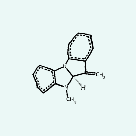 C=C1c2ccccc2N2c3ccccc3N(C)[C@H]12